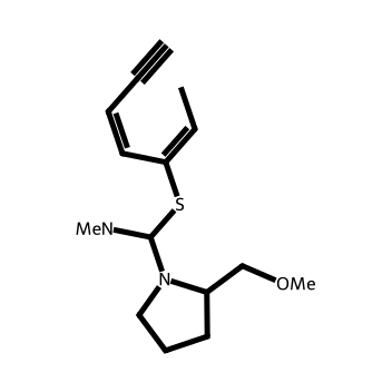 C#C/C=C\C(=C/C)SC(NC)N1CCCC1COC